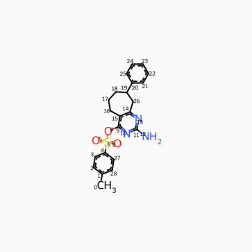 Cc1ccc(S(=O)(=O)Oc2nc(N)nc3c2CCCC(c2ccccc2)C3)cc1